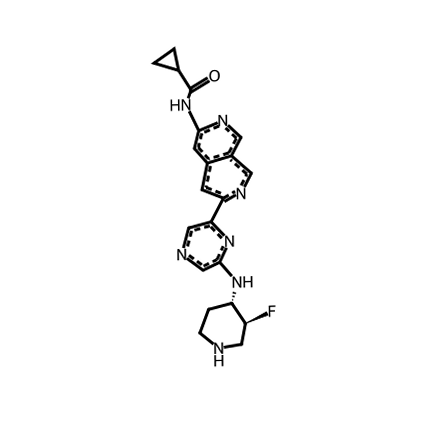 O=C(Nc1cc2cc(-c3cncc(N[C@H]4CCNC[C@@H]4F)n3)ncc2cn1)C1CC1